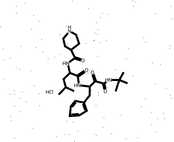 CC(C)CC(NC(=O)C1CCNCC1)C(=O)NC(Cc1ccccc1)C(=O)C(=O)NC(C)(C)C.Cl